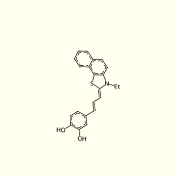 CCN1/C(=C/C=C/c2ccc(O)c(O)c2)Sc2c1ccc1ccccc21